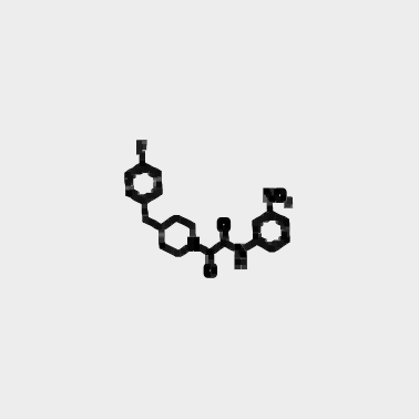 O=C(Nc1cccc([N+](=O)[O-])c1)C(=O)N1CCC(Cc2ccc(F)cc2)CC1